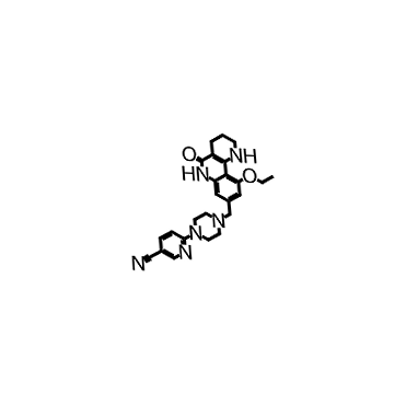 CCOc1cc(CN2CCN(c3ccc(C#N)cn3)CC2)cc2[nH]c(=O)c3c(c12)NCCC3